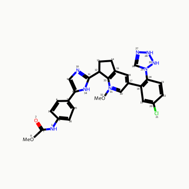 COC(=O)Nc1ccc(-c2cnc(C3CCc4cc(-c5cc(Cl)ccc5N5C=NNN5)c[n+](OC)c43)[nH]2)cc1